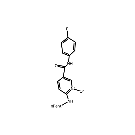 CCCCCNc1ccc(C(=O)Nc2ccc(F)cc2)c[n+]1[O-]